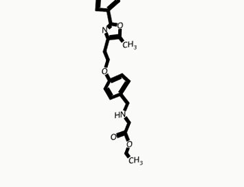 CCOC(=O)CNCc1ccc(OCCc2nc(-c3ccccc3)oc2C)cc1